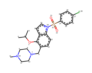 CC(C)Oc1c(CN2CCN(C)CC2)ccc2c1ccn2S(=O)(=O)c1ccc(F)cc1